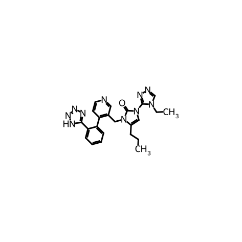 CCCc1cn(-c2nncn2CC)c(=O)n1Cc1cnccc1-c1ccccc1-c1nnn[nH]1